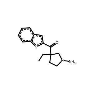 CCC1(C(=O)c2cc3ccccc3s2)CCN(N)C1